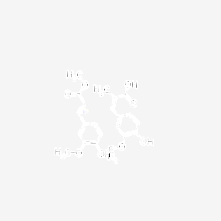 COC(=O)/C=C/c1ccc(O)c(OC)c1.COc1cc(C=C(C)C(=O)O)ccc1O